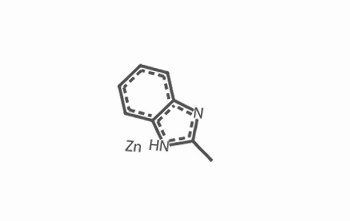 Cc1nc2ccccc2[nH]1.[Zn]